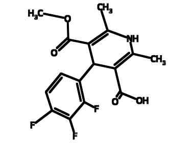 COC(=O)C1=C(C)NC(C)=C(C(=O)O)C1c1ccc(F)c(F)c1F